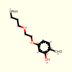 CCCCCCCCCCCCOCCOc1ccc(C=O)c(O)c1